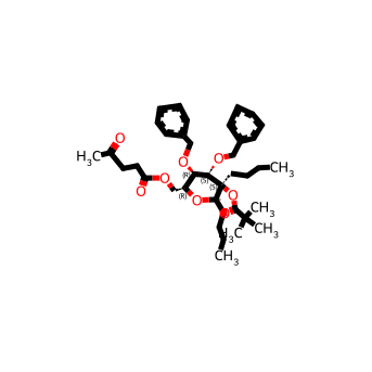 CCCC[C]1O[C@H](COC(=O)CCC(C)=O)[C@@H](OCc2ccccc2)[C@H](OCc2ccccc2)[C@@]1(CCCC)OC(=O)C(C)(C)C